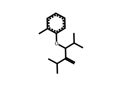 C=C(C(C)C)C(Oc1ccccc1C)C(C)C